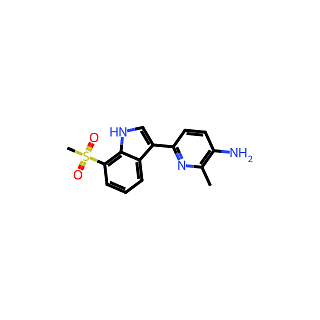 Cc1nc(-c2c[nH]c3c(S(C)(=O)=O)cccc23)ccc1N